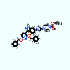 Cn1nc(-c2ccc(OCc3ccccc3)nc2OCc2ccccc2)c2ccc(N3CC(N4CCN(C(=O)OC(C)(C)C)CC4)C3)cc21